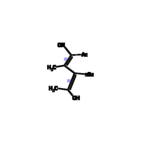 CCCCC(=C(/C)O)/C(C)=C(/N=O)C(C)=O